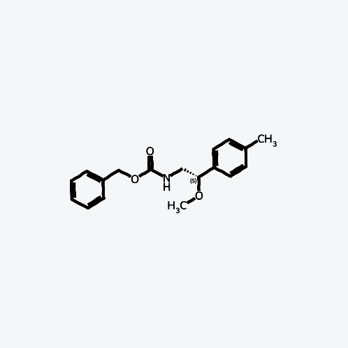 CO[C@H](CNC(=O)OCc1ccccc1)c1ccc(C)cc1